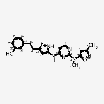 Cc1cc(N(C)c2nccc(Nc3cc(CCc4cccc(O)c4)n[nH]3)n2)on1